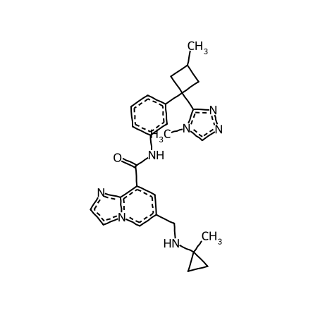 CC1CC(c2cccc(NC(=O)c3cc(CNC4(C)CC4)cn4ccnc34)c2)(c2nncn2C)C1